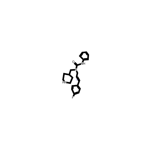 O=C(Nc1ccccc1)N(C/C=C/c1ccc(F)cc1)CC1CCNCC1